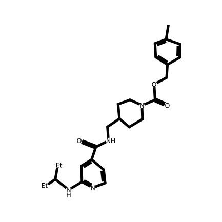 CCC(CC)Nc1cc(C(=O)NCC2CCN(C(=O)OCc3ccc(C)cc3)CC2)ccn1